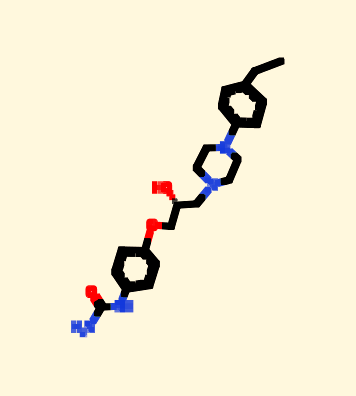 CCc1ccc(N2CCN(C[C@@H](O)COc3ccc(NC(N)=O)cc3)CC2)cc1